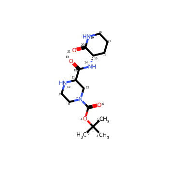 CC(C)(C)OC(=O)N1CCNC(C(=O)N[C@H]2CCCNC2=O)C1